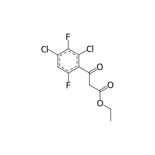 CCOC(=O)CC(=O)c1c(F)cc(Cl)c(F)c1Cl